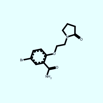 NC(=O)c1cc(Br)ccc1OCCN1CCCC1=O